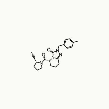 Cc1ccc(Cn2nc3n(c2=O)[C@@H](C(=O)N2CCC[C@H]2C#N)CCC3)cc1